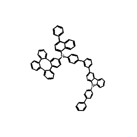 c1ccc(-c2ccc(-n3c4ccccc4c4cc(-c5cccc(-c6ccc(N(c7ccc8c(c7)-c7ccccc7-c7ccccc7-c7ccccc7-8)c7ccc(-c8ccccc8)c8ccccc78)cc6)c5)ccc43)cc2)cc1